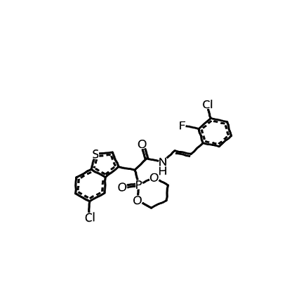 O=C(NC=Cc1cccc(Cl)c1F)C(c1csc2ccc(Cl)cc12)P1(=O)OCCCO1